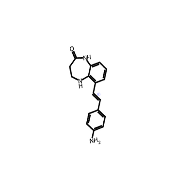 Nc1ccc(/C=C/c2cccc3c2NCCC(=O)N3)cc1